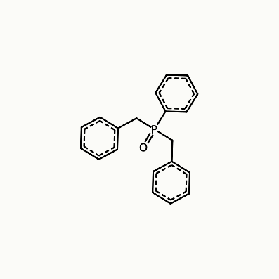 O=P(Cc1ccccc1)(Cc1ccccc1)c1ccccc1